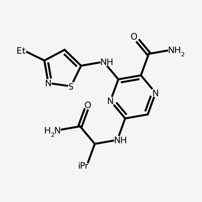 CCc1cc(Nc2nc(NC(C(N)=O)C(C)C)cnc2C(N)=O)sn1